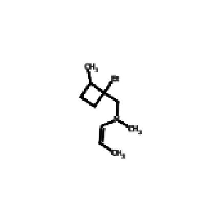 C/C=C\N(C)CC1(CC)CCC1C